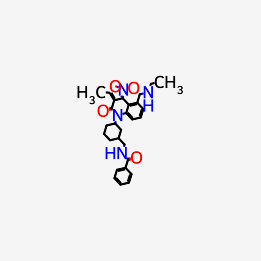 CCNC(=O)c1cccc2c1c1noc(C)c1c(=O)n2C1CCCC(CNC(=O)c2ccccc2)C1